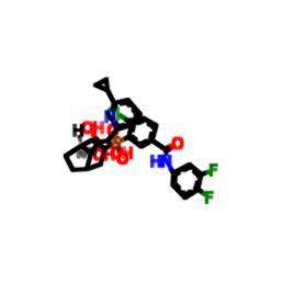 O=C(Nc1ccc(F)c(F)c1)c1ccc(Cl)c(S(=O)(=O)C2CC3CC[C@@H](C2)[C@@]3(O)C(O)C(O)c2cccc(C3CC3)n2)c1